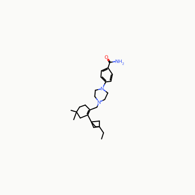 CCC12CC(C3=C(CN4CCN(c5ccc(C(N)=O)cc5)CC4)CCC(C)(C)C3)(C1)C2